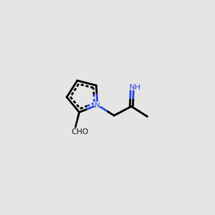 CC(=N)Cn1cccc1C=O